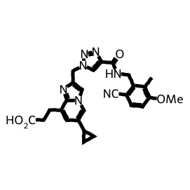 COc1ccc(C#N)c(CNC(=O)c2cn(Cc3cn4cc(C5CC5)cc(CCC(=O)O)c4n3)nn2)c1C